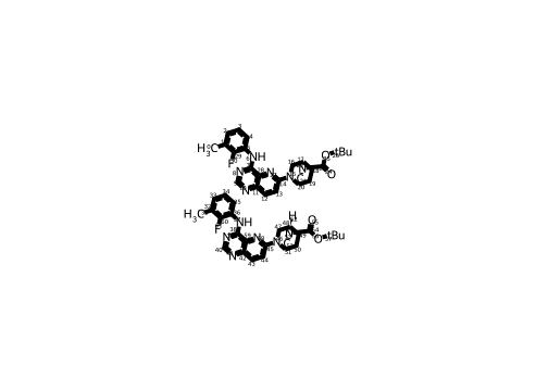 Cc1cccc(Nc2ncnc3ccc(N4CC5CCC4CN5C(=O)OC(C)(C)C)nc23)c1F.Cc1cccc(Nc2ncnc3ccc(N4C[C@H]5CCC4CN5C(=O)OC(C)(C)C)nc23)c1F